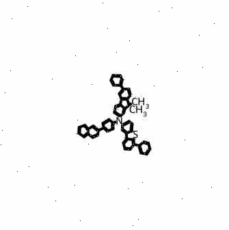 CC1(C)c2ccc(-c3ccccc3)cc2-c2ccc(N(c3ccc(-c4ccc5ccccc5c4)cc3)c3ccc4sc5c(-c6ccccc6)cccc5c4c3)cc21